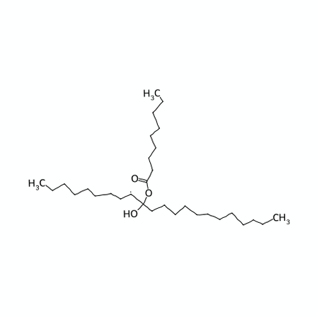 CCCCCCCC[CH]C(O)(CCCCCCCCCCCC)OC(=O)CCCCCCCC